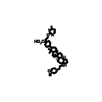 Cc1ccnc(OCCC2(C(=O)O)CC=C(C3=CCC4(C)C(CCC5(C)C4CCC4[C@H]6CCCC6(NCCN6CCS(=O)(=O)CC6)CC[C@]45C)C3(C)C)CC2)n1